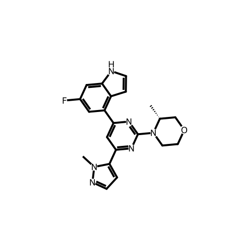 C[C@@H]1COCCN1c1nc(-c2cc(F)cc3[nH]ccc23)cc(-c2ccnn2C)n1